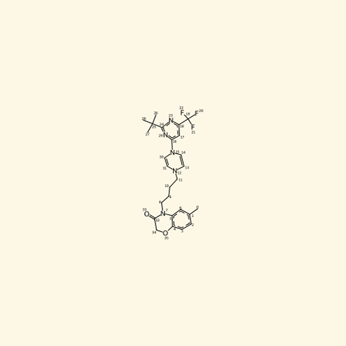 Cc1ccc2c(c1)N(CCCCN1C=CN(c3cc(C(F)(F)F)nc(C(C)(C)C)n3)C=C1)C(=O)CO2